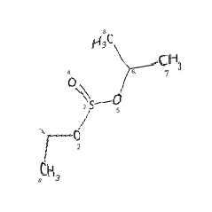 CCOS(=O)OC(C)C